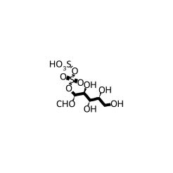 O=C[C@H](OS(=O)(=O)OS(=O)(=O)O)[C@@H](O)[C@@H](O)[C@H](O)CO